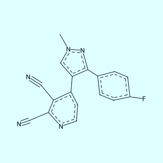 Cn1cc(-c2ccnc(C#N)c2C#N)c(-c2ccc(F)cc2)n1